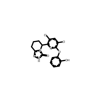 O=c1[nH]nc2n1C(c1nc(Oc3ccccc3O)c(Cl)cc1Cl)CCC2